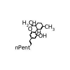 C=C1Oc2cc(/C=C/CCCCC)cc(O)c2[C@@H]2C=C(C)CC[C@@H]12